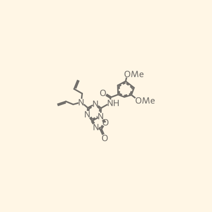 C=CCN(CC=C)c1nc(NC(=O)c2cc(OC)cc(OC)c2)n2oc(=O)nc2n1